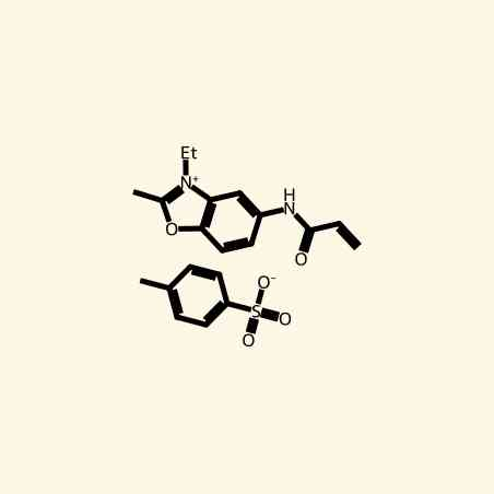 C=CC(=O)Nc1ccc2oc(C)[n+](CC)c2c1.Cc1ccc(S(=O)(=O)[O-])cc1